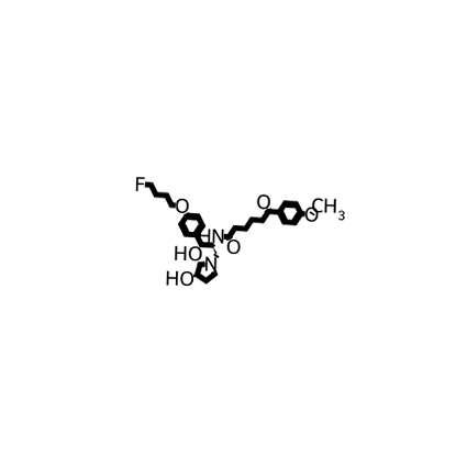 COc1ccc(C(=O)CCCCC(=O)N[C@H](CN2CC[C@@H](O)C2)[C@H](O)c2ccc(OCCCCF)cc2)cc1